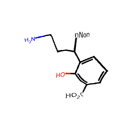 CCCCCCCCCC(CCN)c1cccc(C(=O)O)c1O